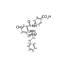 O=C(O)c1ccc(NC(=O)c2cc(Cl)ccc2NS(=O)(=O)CCc2ccccc2)cc1